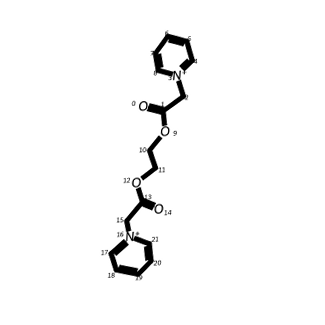 O=C(C[n+]1ccccc1)OCCOC(=O)C[n+]1ccccc1